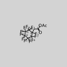 CC(=O)OC(=O)CC1(F)C(F)(F)C(F)(F)C(F)(F)C(F)(F)C1(F)F